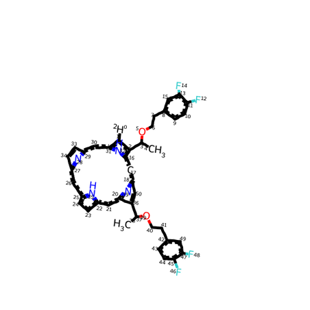 [2H]c1c(C(C)OCCc2ccc(F)c(F)c2)c2cc3nc(cc4ccc(cc5nc(cc1[nH]2)C=C5)[nH]4)C(C(C)OCCc1ccc(F)c(F)c1)=C3